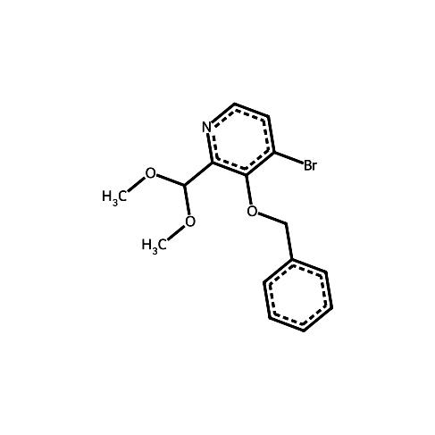 COC(OC)c1nccc(Br)c1OCc1ccccc1